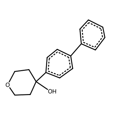 OC1(c2ccc(-c3ccccc3)cc2)CCOCC1